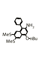 CCCCOc1cc(N)c(-c2ccccc2)c2cc(SC)c(SC)cc12